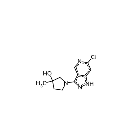 CC1(O)CCN(c2n[nH]c3cc(Cl)ncc23)C1